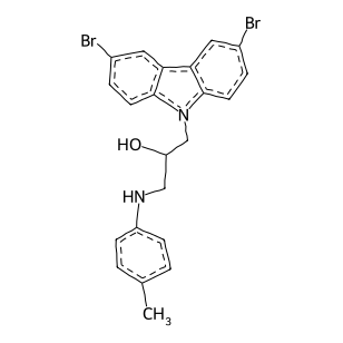 Cc1ccc(NCC(O)Cn2c3ccc(Br)cc3c3cc(Br)ccc32)cc1